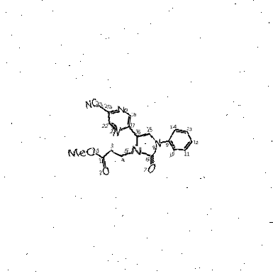 COC(=O)CCN1C(=O)N(c2ccccc2)CC1c1cnc(C#N)cn1